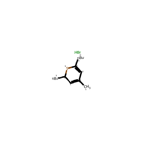 Br.CCCCC1=CC(C)=CC(CCCC)S1